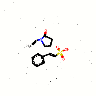 C=CN1CCCC1=O.O=S(=O)(O)C=Cc1ccccc1